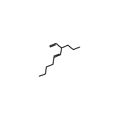 [CH2]CCC(C=C)C=CCCCC